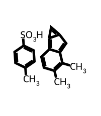 Cc1ccc(S(=O)(=O)O)cc1.Cc1ccc2c3cc-3cc2c1C